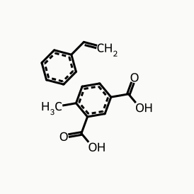 C=Cc1ccccc1.Cc1ccc(C(=O)O)cc1C(=O)O